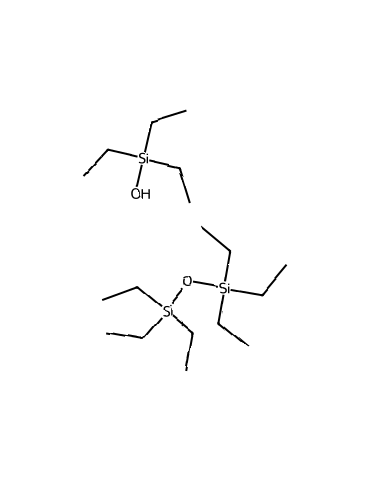 CC[Si](CC)(CC)O[Si](CC)(CC)CC.CC[Si](O)(CC)CC